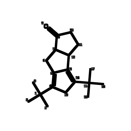 CC(C)(C)C1=C2CC3C(=O)CCC3C2=C(C(C)(C)C)C1